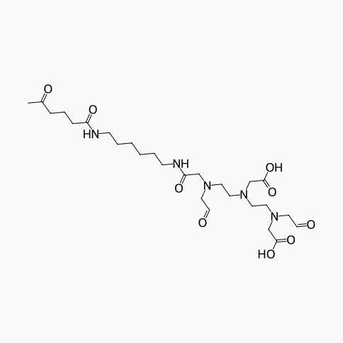 CC(=O)CCCC(=O)NCCCCCCNC(=O)CN(CC=O)CCN(CCN(CC=O)CC(=O)O)CC(=O)O